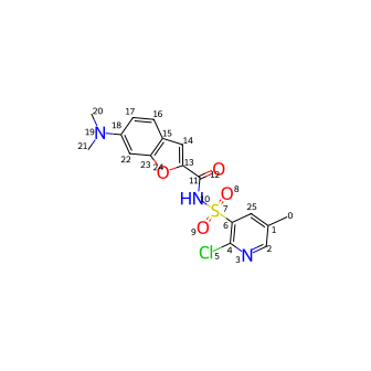 Cc1cnc(Cl)c(S(=O)(=O)NC(=O)c2cc3ccc(N(C)C)cc3o2)c1